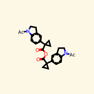 CC(=O)N1CCc2cc(C3(C(=O)OC(=O)C4(c5ccc6c(c5)CCN6C(C)=O)CC4)CC3)ccc21